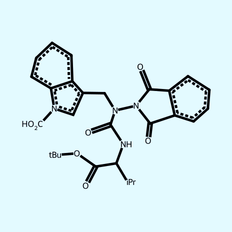 CC(C)C(NC(=O)N(Cc1cn(C(=O)O)c2ccccc12)N1C(=O)c2ccccc2C1=O)C(=O)OC(C)(C)C